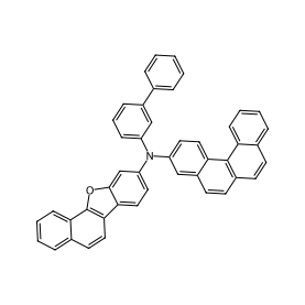 c1ccc(-c2cccc(N(c3ccc4c(ccc5ccc6ccccc6c54)c3)c3ccc4c(c3)oc3c5ccccc5ccc43)c2)cc1